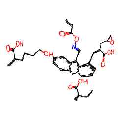 C=C(CC)C(=O)O.C=C(CCCCO)C(=O)O.C=CC(=O)ON=Cc1c2ccccc2cc2cccc(C=C(CC3CO3)C(=O)O)c12